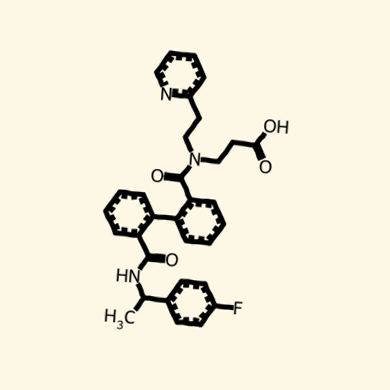 CC(NC(=O)c1ccccc1-c1ccccc1C(=O)N(CCC(=O)O)CCc1ccccn1)c1ccc(F)cc1